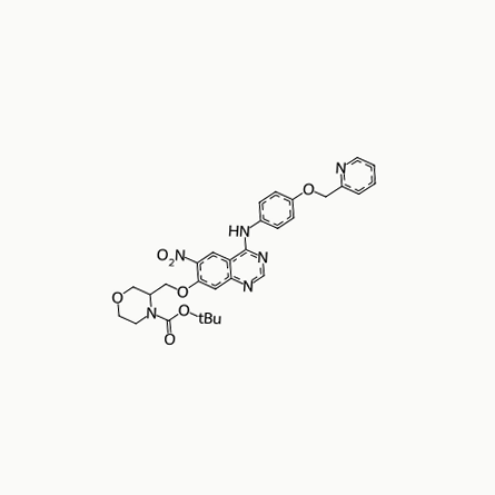 CC(C)(C)OC(=O)N1CCOCC1COc1cc2ncnc(Nc3ccc(OCc4ccccn4)cc3)c2cc1[N+](=O)[O-]